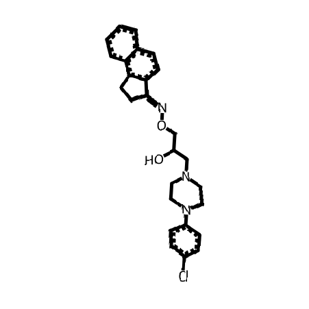 OC(CON=C1CCc2c1ccc1ccccc21)CN1CCN(c2ccc(Cl)cc2)CC1